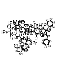 CCC(C)C(C(CC(=O)N1CCC[C@H]1C(OC)C(C)C(=O)NC(Cc1ccccc1)C(=O)NCc1ccccc1)OC)N(C)C(=O)C(NC(=O)C(C(C)C)N(C)CCCC(=O)NC(CC(C)C)C(=O)ON1C(=O)CCC1=O)C(C)C